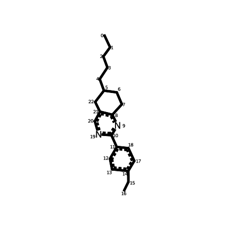 CCCCCC1CCc2nc(-c3ccc(CC)cc3)ncc2C1